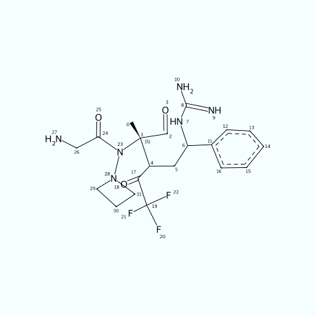 C[C@@](C=O)(C(CC(NC(=N)N)c1ccccc1)C(=O)C(F)(F)F)N(C(=O)CN)N1CCC1